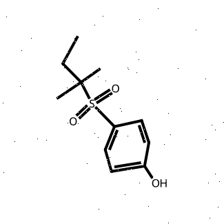 CCC(C)(C)S(=O)(=O)c1ccc(O)cc1